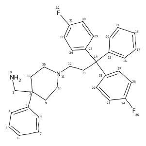 NCC1(c2ccccc2)CCN(CCC(c2ccccc2)(c2ccc(F)cc2)c2ccc(F)cc2)CC1